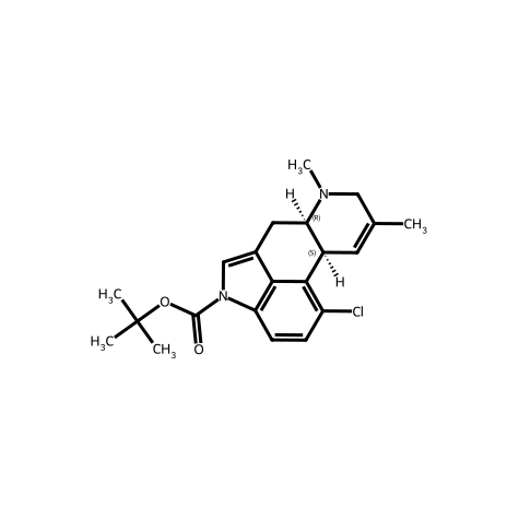 CC1=C[C@H]2c3c(Cl)ccc4c3c(cn4C(=O)OC(C)(C)C)C[C@H]2N(C)C1